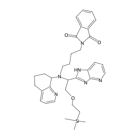 C[Si](C)(C)CCOCC(c1nc2ncccc2[nH]1)N(CCCCN1C(=O)c2ccccc2C1=O)C1CCCc2cccnc21